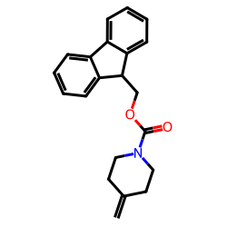 C=C1CCN(C(=O)OCC2c3ccccc3-c3ccccc32)CC1